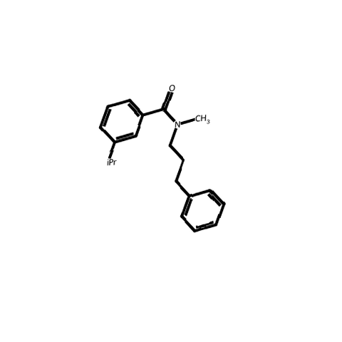 CC(C)c1cccc(C(=O)N(C)CCCc2ccccc2)c1